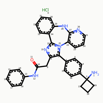 Cl.NC1(c2ccc(-c3c(CC(=O)Nc4ccccc4)nc4n3-c3cccnc3Nc3ccccc3-4)cc2)CCC1